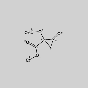 [CH2]COC(=O)C1(O[C]=O)CC1=O